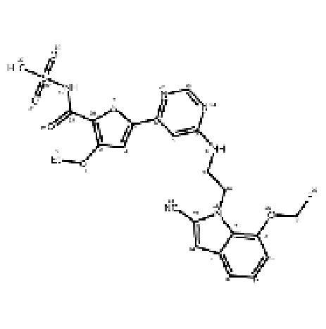 CCOc1cc(-c2cc(NCCn3c(C#N)cc4cccc(OCF)c43)ncn2)sc1C(=O)NS(C)(=O)=O